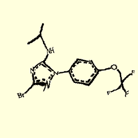 CC(C)Nc1nc(Br)nn1-c1ccc(OC(F)(F)F)cc1